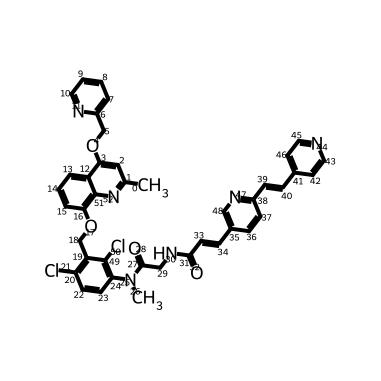 Cc1cc(OCc2ccccn2)c2cccc(OCc3c(Cl)ccc(N(C)C(=O)CNC(=O)C=Cc4ccc(C=Cc5ccncc5)nc4)c3Cl)c2n1